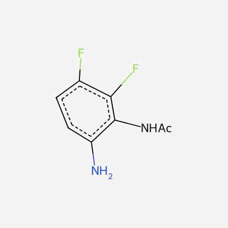 CC(=O)Nc1c(N)ccc(F)c1F